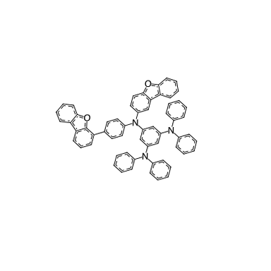 c1ccc(N(c2ccccc2)c2cc(N(c3ccccc3)c3ccccc3)cc(N(c3ccc(-c4cccc5c4oc4ccccc45)cc3)c3ccc4oc5ccccc5c4c3)c2)cc1